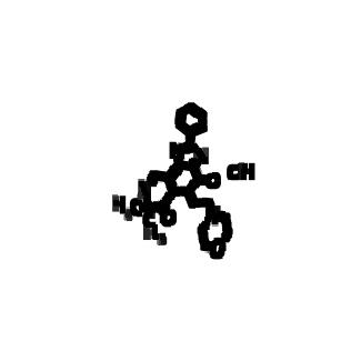 CC1(C)N=CC2=C3N=C(c4ccccc4)N=C3C(=O)C(CCN3CCOCC3)C2C1=O.Cl